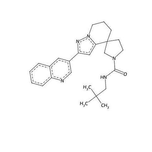 CC(C)(C)CNC(=O)N1CCC2(CCCn3nc(-c4cnc5ccccc5c4)cc32)C1